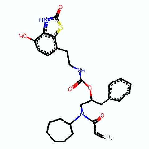 C=CC(=O)N(CC(Cc1ccccc1)OC(=O)NCCc1ccc(O)c2[nH]c(=O)sc12)C1CCCCCC1